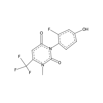 Cn1c(C(F)(F)F)cc(=O)n(-c2ccc(O)cc2F)c1=O